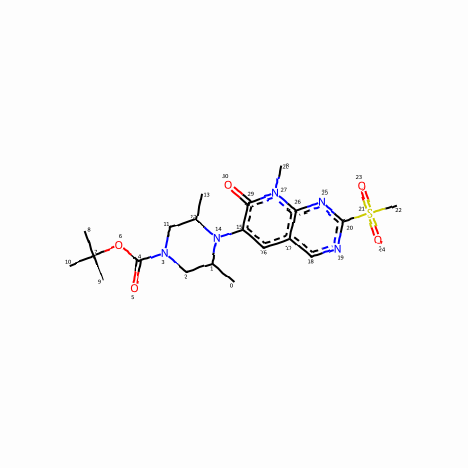 CC1CN(C(=O)OC(C)(C)C)CC(C)N1c1cc2cnc(S(C)(=O)=O)nc2n(C)c1=O